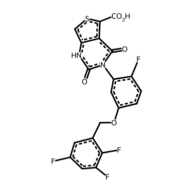 O=C(O)c1scc2[nH]c(=O)n(-c3cc(OCc4cc(F)cc(F)c4F)ccc3F)c(=O)c12